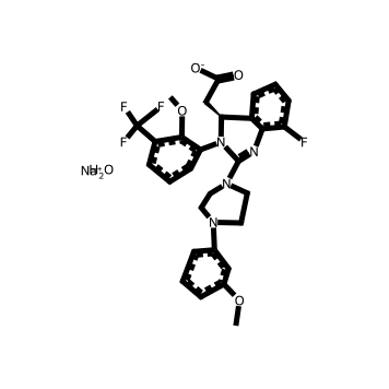 COc1cccc(N2CCN(C3=Nc4c(F)cccc4[C@H](CC(=O)[O-])N3c3cccc(C(F)(F)F)c3OC)CC2)c1.O.[Na+]